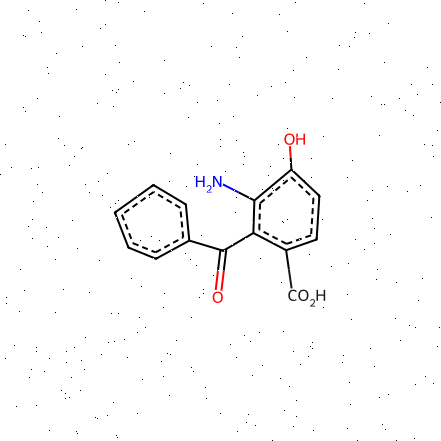 Nc1c(O)ccc(C(=O)O)c1C(=O)c1ccccc1